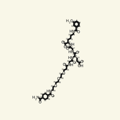 Cc1cccc(C(=O)NCCCCC(NC(=O)CNC(=O)[C@@H](CCC(=O)O)NC(=O)CNC(=O)CCOCCOCCOCCNC(=O)C2CCC(C(N)=O)CC2)C(=O)O)c1